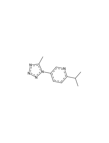 Cc1nnnn1-c1ccc(C(C)C)nc1